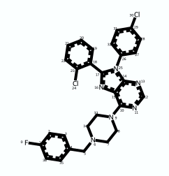 Fc1ccc(CN2CCN(c3ncnc4c3nc(-c3ccccc3Cl)n4-c3ccc(Cl)cc3)CC2)cc1